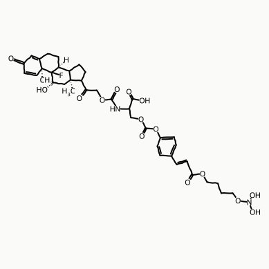 C[C@]12C[C@H](O)C3(F)[C@@H](CCC4=CC(=O)C=C[C@@]43C)C1CCC2C(=O)COC(=O)NC(COC(=O)Oc1ccc(/C=C/C(=O)OCCCCON(O)O)cc1)C(=O)O